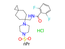 CCCS(=O)(=O)N1CCN(C2(CNC(=O)c3c(F)cccc3F)CCC3(CC3)CC2)CC1.Cl